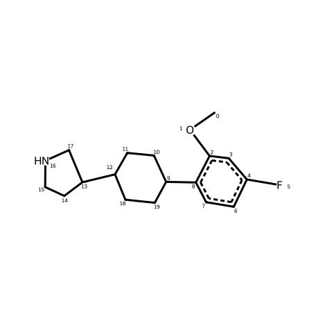 COc1cc(F)ccc1C1CCC([C]2CCNC2)CC1